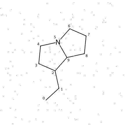 CCC1CCN2CCCC12